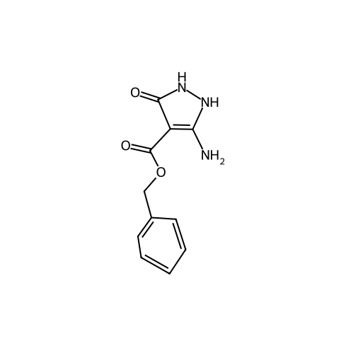 Nc1[nH][nH]c(=O)c1C(=O)OCc1ccccc1